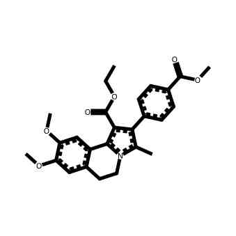 CCOC(=O)c1c(-c2ccc(C(=O)OC)cc2)c(C)n2c1-c1cc(OC)c(OC)cc1CC2